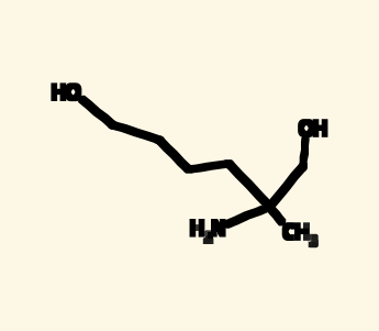 CC(N)(CO)CCCCO